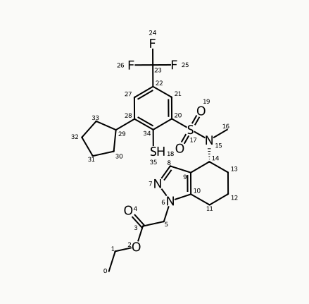 CCOC(=O)Cn1ncc2c1CCC[C@H]2N(C)S(=O)(=O)c1cc(C(F)(F)F)cc(C2CCCC2)c1S